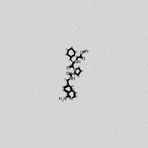 CC(C)OC(=O)CN[C@H](CC1CCCCC1)C(=O)N1CCC[C@H]1C(=O)NCc1ccc2c(N)nccc2c1